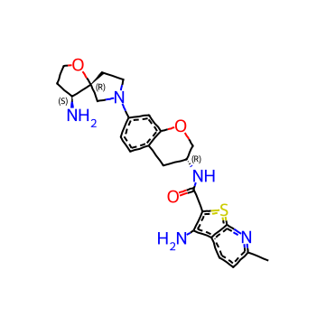 Cc1ccc2c(N)c(C(=O)N[C@H]3COc4cc(N5CC[C@]6(C5)OCC[C@@H]6N)ccc4C3)sc2n1